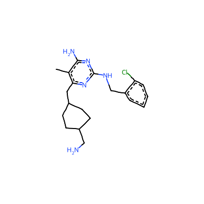 Cc1c(N)nc(NCc2ccccc2Cl)nc1CC1CCC(CN)CC1